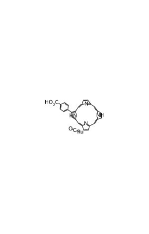 O=C(O)c1ccc(-c2cc3cc4nc(cc5ccc(cc6nc(cc2[nH]3)C=C6)[nH]5)C=C4)cc1.O=[C]=[Ru]